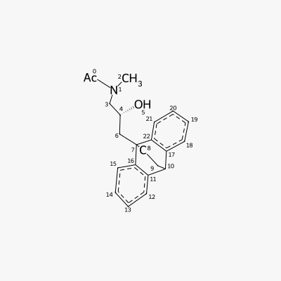 CC(=O)N(C)C[C@H](O)CC12CCC(c3ccccc31)c1ccccc12